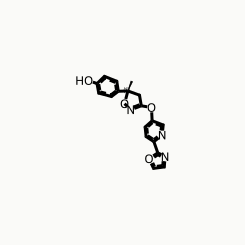 C[C@@]1(c2ccc(O)cc2)CC(Oc2ccc(-c3ncco3)nc2)=NO1